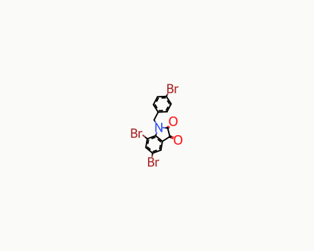 O=C1C(=O)N(Cc2ccc(Br)cc2)c2c(Br)cc(Br)cc21